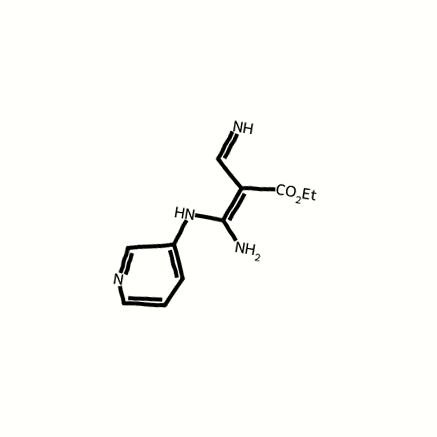 CCOC(=O)/C(C=N)=C(\N)Nc1cccnc1